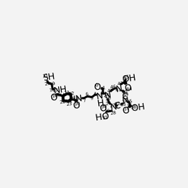 O=CC(NCCCCNC(=O)c1ccc(C(=O)NCCCS)cc1)N1CCN(CC(=O)O)CCN(CC(=O)O)CCN(CC(=O)O)CC1